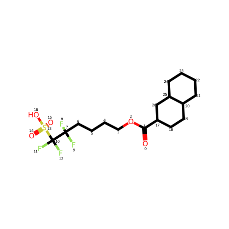 O=C(OCCCCC(F)(F)C(F)(F)S(=O)(=O)O)C1CCC2CCCCC2C1